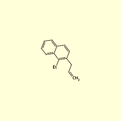 C=CCc1ccc2ccccc2c1CC